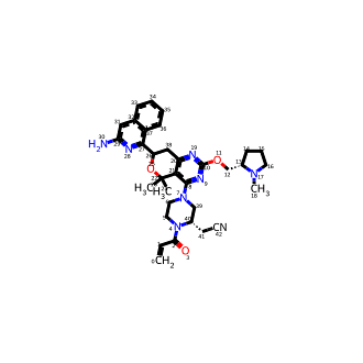 C=CC(=O)N1CCN(c2nc(OC[C@@H]3CCCN3C)nc3c2C(C)(C)OC(c2nc(N)cc4ccccc24)C3)C[C@@H]1CC#N